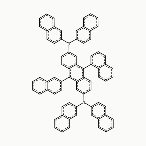 c1ccc2cc(-c3c4cc(N(c5ccc6ccccc6c5)c5ccc6ccccc6c5)ccc4c(-c4cccc5ccccc45)c4cc(N(c5ccc6ccccc6c5)c5ccc6ccccc6c5)ccc34)ccc2c1